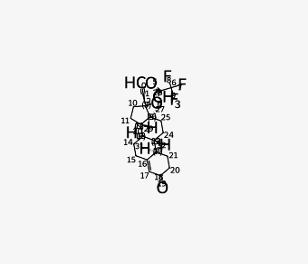 C#C[C@]1(OC(=O)C(F)(F)F)CC[C@H]2[C@@H]3CCC4=CC(=O)CC[C@@H]4[C@H]3CC[C@@]21CC